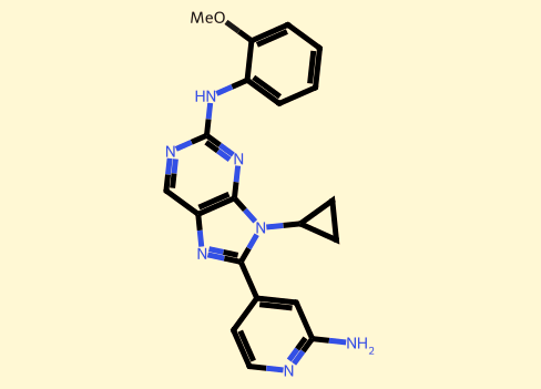 COc1ccccc1Nc1ncc2nc(-c3ccnc(N)c3)n(C3CC3)c2n1